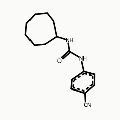 N#Cc1ccc(NC(=O)NC2CCCCCCC2)cc1